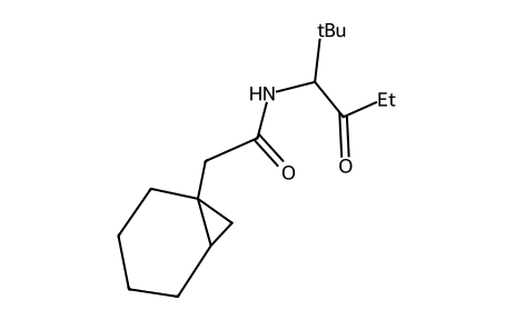 CCC(=O)C(NC(=O)CC12CCCCC1C2)C(C)(C)C